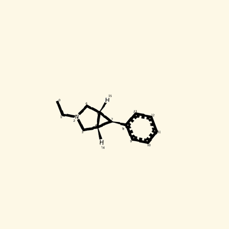 CCN1C[C@@H]2[C@H](C1)[C@H]2c1ccccc1